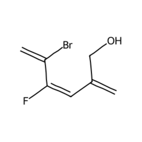 C=C(/C=C(/F)C(=C)Br)CO